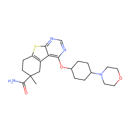 CC1(C(N)=O)CCc2sc3ncnc(OC4CCC(N5CCOCC5)CC4)c3c2C1